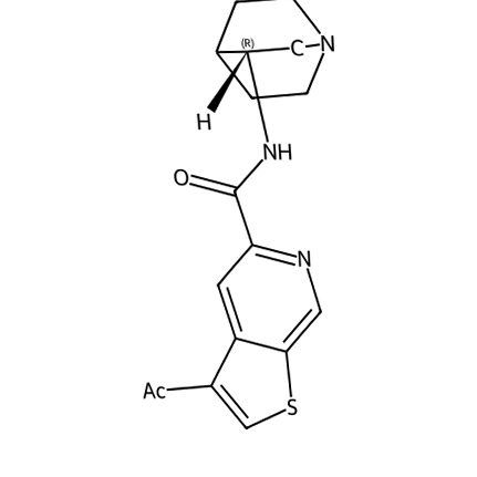 CC(=O)c1csc2cnc(C(=O)N[C@H]3CN4CCC3CC4)cc12